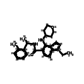 CCn1ncc2c(NC3CCOCC3)c(C(=O)NC(C)c3ccccc3C)cnc21